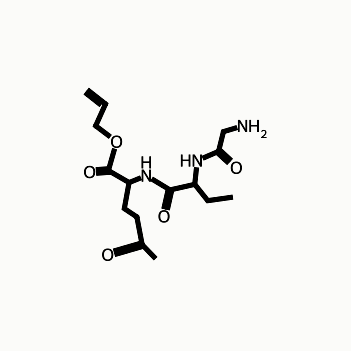 C=CCOC(=O)C(CCC(C)=O)NC(=O)C(CC)NC(=O)CN